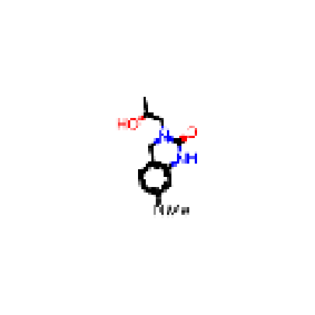 CNc1ccc2c(c1)NC(=O)N(CC(C)O)C2